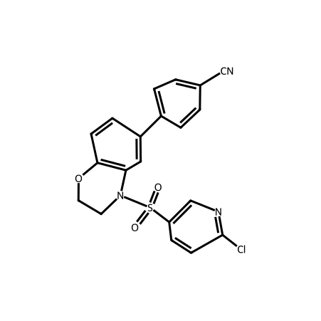 N#Cc1ccc(-c2ccc3c(c2)N(S(=O)(=O)c2ccc(Cl)nc2)CCO3)cc1